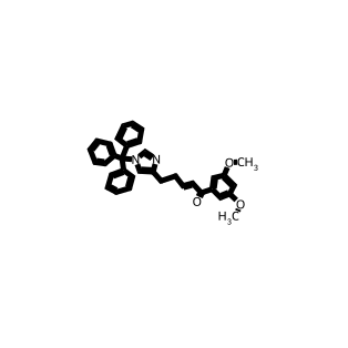 COc1cc(OC)cc(C(=O)/C=C/CCc2cn(C(c3ccccc3)(c3ccccc3)c3ccccc3)cn2)c1